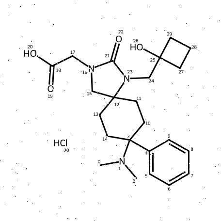 CN(C)C1(c2ccccc2)CCC2(CC1)CN(CC(=O)O)C(=O)N2CC1(O)CCC1.Cl